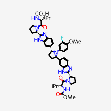 COC(=O)N[C@H](C(=O)N1CCC[C@H]1c1nc2ccc(C3CC[C@H](c4ccc5nc([C@@H]6CCCN6C(=O)[C@@H](NC(=O)O)C(C)C)[nH]c5c4)N3c3ccc(OC)c(F)c3)cc2[nH]1)C(C)C